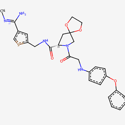 N#C/N=C(\N)c1csc(CNC(=O)[C@@H]2CC3(CN2C(=O)CNc2ccc(Oc4ccccc4)cc2)OCCO3)c1